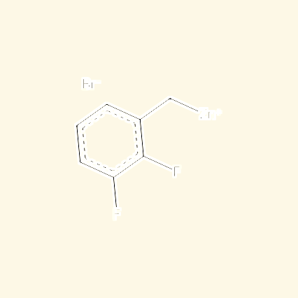 Fc1cccc([CH2][Zn+])c1F.[Br-]